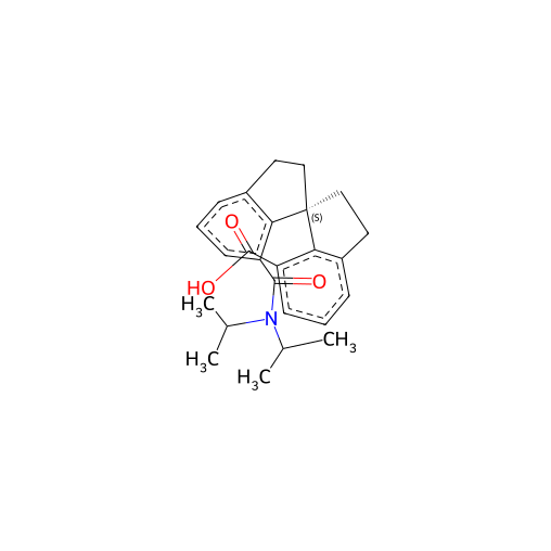 CC(C)N(C(=O)c1cccc2c1[C@@]1(CCc3cccc(C(=O)O)c31)CC2)C(C)C